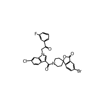 O=C(Cn1cc(C(=O)N2CCC3(CC2)OC(=O)c2cc(Br)ccc23)c2ccc(Cl)cc21)c1cccc(F)c1